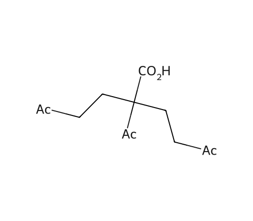 CC(=O)CCC(CCC(C)=O)(C(C)=O)C(=O)O